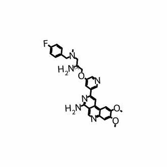 COc1cc2ncc3c(N)nc(-c4cncc(OC[C@@H](N)CN(C)Cc5ccc(F)cc5)c4)cc3c2cc1OC